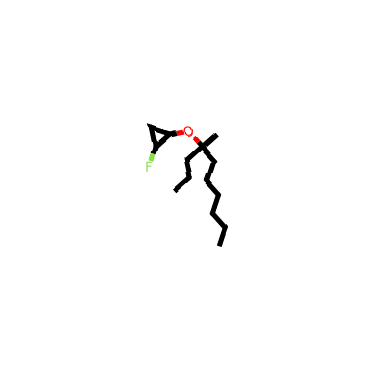 CCCCCCC(C)(CCC)OC1CC1F